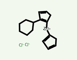 C1=CC[C]([Zr+2][C]2=C(C3CCCCC3)C=CC2)=C1.[Cl-].[Cl-]